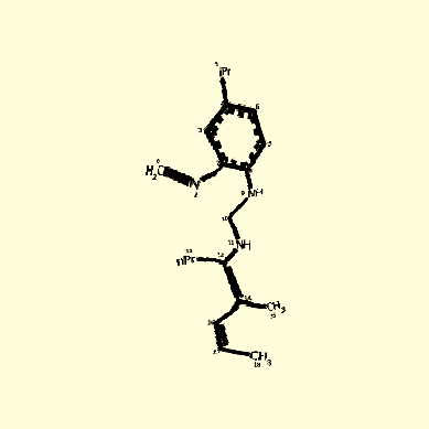 C=Nc1cc(C(C)C)ccc1NCN/C(CCC)=C(C)/C=C\C